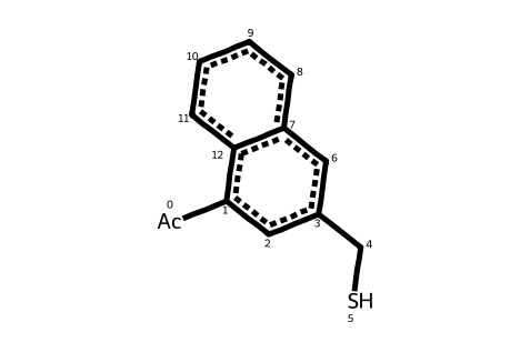 CC(=O)c1cc(CS)cc2ccccc12